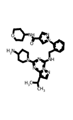 CC(C)c1cnn2c(NCc3ccccc3-n3cc(C(=O)NC4CCOCC4)cn3)nc(N3CCC(N)CC3)nc12